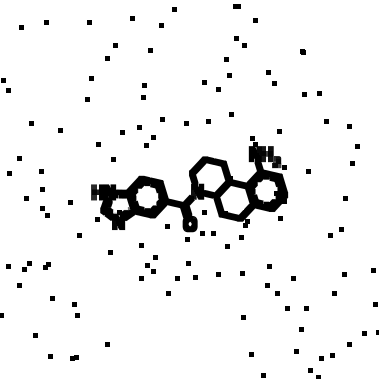 Nc1cccc2c1C1CCCN(C(=O)c3ccc4[nH]cnc4c3)C1CC2